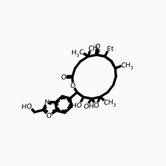 CCC1CC(C)CCCC2(C)OC2(O)C(O)C(c2ccc3oc(CO)nc3c2)OC(=O)CCC(C)(C)C1=O